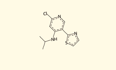 CC(C)Nc1cc(Cl)ncc1-c1nccs1